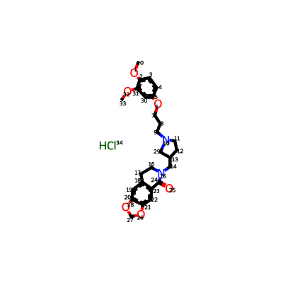 COc1ccc(OCCCN2CCC(CN3CCc4cc5c(cc4C3=O)OCO5)C2)cc1OC.Cl